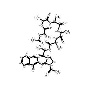 CC(=O)OC(C)C(=O)OC(C)C(=O)OC(C)C(=O)OC(C)C(=O)OC(C)C(=O)OC(C)C(=O)N1CCN(C(C)=O)/C1=N/c1ccc2nccnc2c1Br